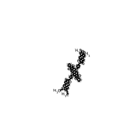 CCCCOC(=O)c1ccc2c3ccc4c5c(ccc(c6ccc(OCCCC)c1c62)c53)C(=O)N(CCc1ccc(Oc2cc3c5c(ccc6c7c(Oc8ccc(CCN9C(=O)c%10ccc%11c%12ccc(C)c%13c(C(C)=O)ccc(c%14ccc(c%10c%11%14)C9=O)c%13%12)cc8)cc8c9c(ccc(c2c56)c97)C(=O)N(C2CCCCC2)C8=O)C(=O)N(C2CCCCC2)C3=O)cc1)C4=O